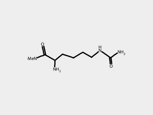 CNC(=O)C(N)CCCCNC(N)=O